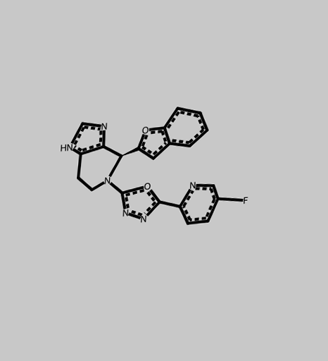 Fc1ccc(-c2nnc(N3CCc4[nH]cnc4[C@H]3c3cc4ccccc4o3)o2)nc1